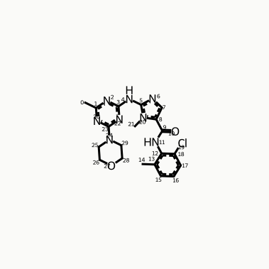 Cc1nc(Nc2ncc(C(=O)Nc3c(C)cccc3Cl)n2C)nc(N2CCOCC2)n1